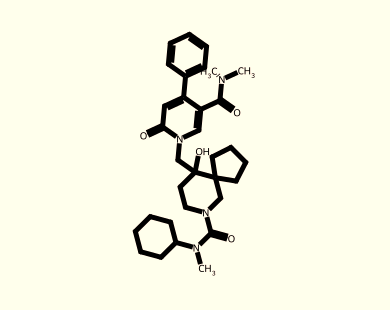 CN(C)C(=O)c1cn(CC2(O)CCN(C(=O)N(C)C3CCCCC3)CC23CCCC3)c(=O)cc1-c1ccccc1